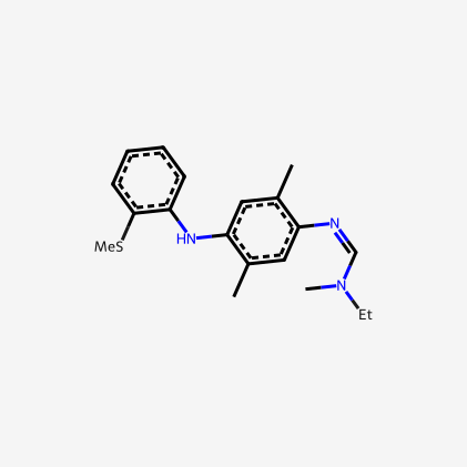 CCN(C)/C=N\c1cc(C)c(Nc2ccccc2SC)cc1C